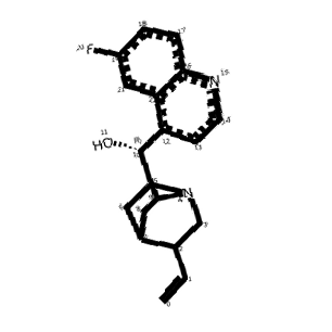 C=CC1CN2CCC1CC2[C@H](O)c1ccnc2ccc(F)cc12